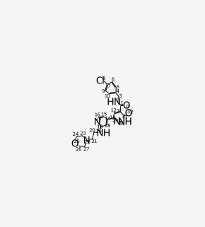 O=C(NCc1ccc(Cl)cc1)c1cc(-c2ccnc(NCCN3CCOCC3)c2)n[nH]c1=O